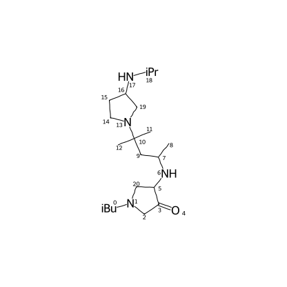 CCC(C)N1CC(=O)C(NC(C)CC(C)(C)N2CCC(NC(C)C)C2)C1